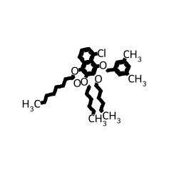 CCCCCCCC(=O)Oc1c(OCCCCCC)c(OCCCCCC)c(OCc2cc(C)cc(C)c2)c2c(Cl)cccc12